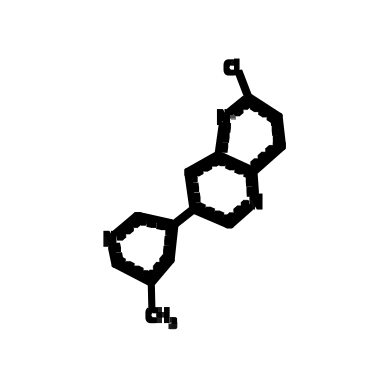 Cc1cncc(-c2cnc3ccc(Cl)nc3c2)c1